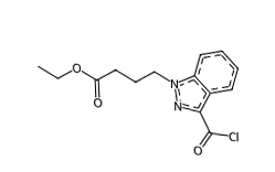 CCOC(=O)CCCn1nc(C(=O)Cl)c2ccccc21